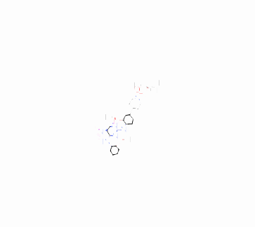 COc1cc(C2CCN(C(=O)OC(C)(C)C)CC2)ccc1Nc1ncc([N+](=O)[O-])c(Nc2ccccc2OC)n1